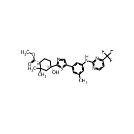 COC(=O)[C@@H]1CC[C@@](O)(c2ncc(-c3cc(C)cc(Nc4nccc(C(F)(F)F)n4)c3)s2)CC1(C)C